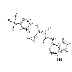 Nc1ncc(NC(=O)C(=O)N(Cc2ccc(C(F)(F)F)cn2)C2CC2)c2[nH]ncc12